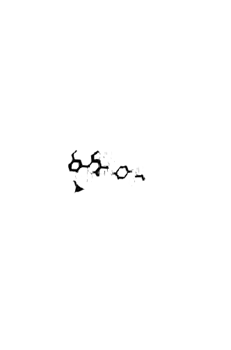 CCC(=O)NC1CCC(NC(=O)C2=C(C)NC(c3cc(CC)ccc3OCC3CC3)c3cc[nH]c32)CC1